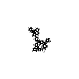 CC1(C)c2ccccc2-c2ccc(N(c3ccc(-c4ccc5c6c4ccc4cccc(c46)n5-c4ccccc4)cc3)c3ccc4c(c3)c3ccccc3n4-c3ccccc3)cc21